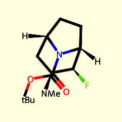 CN[C@H]1C[C@@H]2CC[C@H]([C@H]1F)N2C(=O)OC(C)(C)C